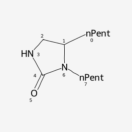 CCCCCC1CNC(=O)N1CCCCC